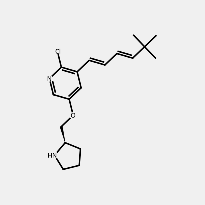 CC(C)(C)/C=C/C=C/c1cc(OC[C@H]2CCCN2)cnc1Cl